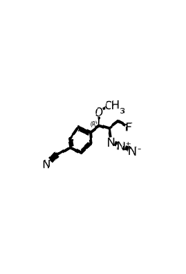 CO[C@H](c1ccc(C#N)cc1)C(CF)N=[N+]=[N-]